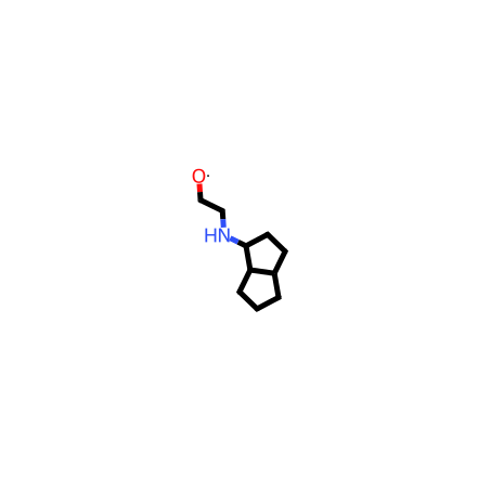 [O]CCNC1CCC2CCCC21